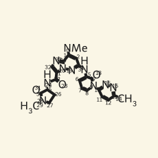 CNc1cc(Nc2cccn(-c3ccc(C)nn3)c2=O)nn2c(C(=O)N[C@@H]3CCN(C)C3=O)cnc12